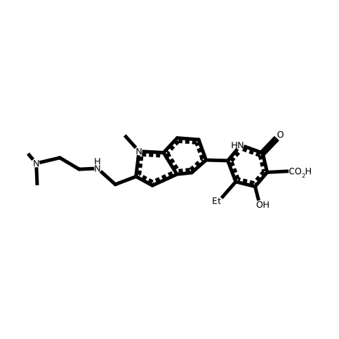 CCc1c(-c2ccc3c(c2)cc(CNCCN(C)C)n3C)[nH]c(=O)c(C(=O)O)c1O